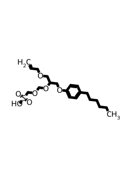 C=CCOCC(COc1ccc(CCCCCC)cc1)OCOCS(=O)(=O)O